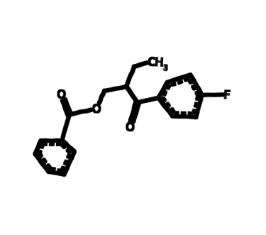 CCC(COC(=O)c1ccccc1)C(=O)c1ccc(F)cc1